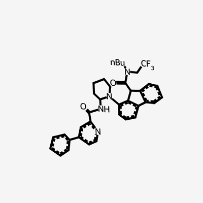 CCCCN(CC(F)(F)F)C(=O)C1c2ccccc2-c2cccc(N3CCCCC3NC(=O)c3cc(-c4ccccc4)ccn3)c21